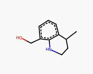 CC1CCNc2c(CO)cccc21